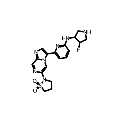 O=S1(=O)CCCN1c1cn2c(-c3cccc(NC4CNCC4F)n3)cnc2cn1